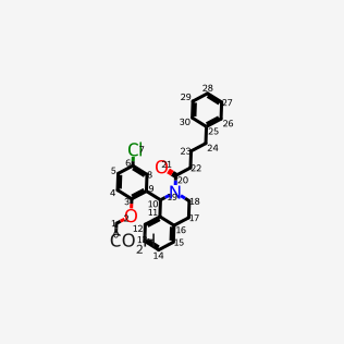 O=C(O)COc1ccc(Cl)cc1C1c2ccccc2CCN1C(=O)CCCc1ccccc1